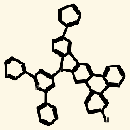 Clc1ccc2c(c1)c1ccccc1c1cc3c4cc(-c5ccccc5)ccc4n(-c4cc(-c5ccccc5)nc(-c5ccccc5)c4)c3cc21